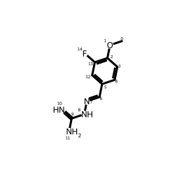 COc1ccc(/C=N/NC(=N)N)cc1F